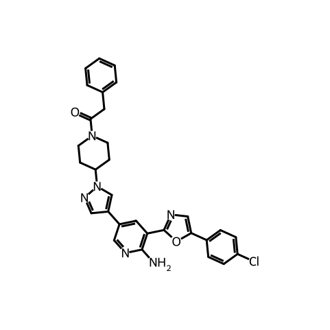 Nc1ncc(-c2cnn(C3CCN(C(=O)Cc4ccccc4)CC3)c2)cc1-c1ncc(-c2ccc(Cl)cc2)o1